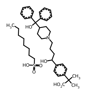 CC(C)(C(=O)O)c1ccc(C(O)CCCN2CCC(C(O)(c3ccccc3)c3ccccc3)CC2)cc1.CCCCCCCCS(=O)(=O)O